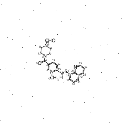 Cc1cc(C(=O)N2CCN(C=O)CC2)ccc1NSc1cccc2cccnc12